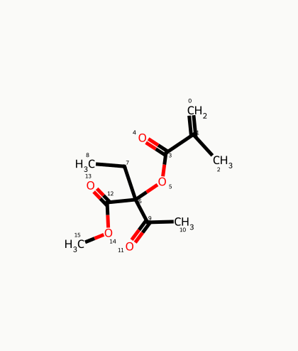 C=C(C)C(=O)OC(CC)(C(C)=O)C(=O)OC